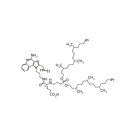 CCNCc1nc2c(N)nc3ccccc3c2n1CCCNC(=O)[C@H](CCC(=O)O)NCCCP(=O)(OCCC(C)CCCC(C)CCCC(C)CCCC(C)C)OCCC(C)CCCC(C)CCCC(C)CCCC(C)C